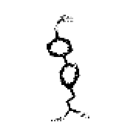 CCCCCCCCCCOc1ccc(-c2ccc(CCC(O)CCCCCC)cn2)cc1